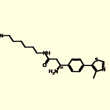 Cc1ncsc1-c1ccc([C@@H](N)CC(=O)NCCCCCCN)cc1